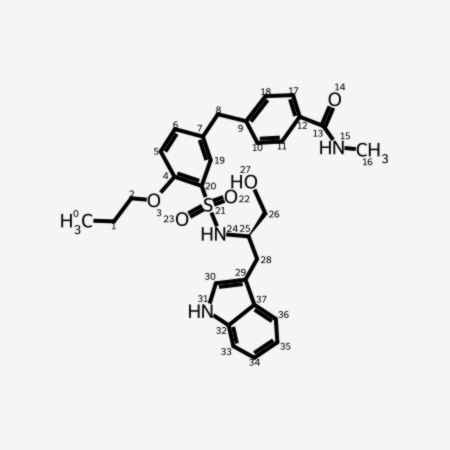 CCCOc1ccc(Cc2ccc(C(=O)NC)cc2)cc1S(=O)(=O)N[C@@H](CO)Cc1c[nH]c2ccccc12